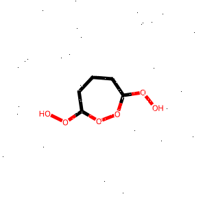 OOC1CCCC(OO)OO1